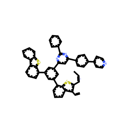 C=Cc1c(/C=C\C)sc2c(-c3cc(-c4cc(-c5ccc(-c6ccncc6)cc5)nc(-c5ccccc5)n4)cc(-c4cccc5c4sc4ccccc45)c3)cccc12